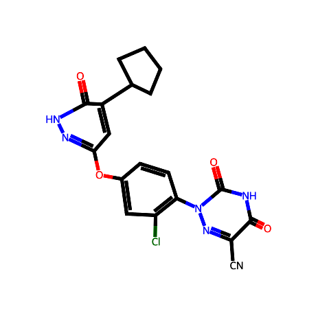 N#Cc1nn(-c2ccc(Oc3cc(C4CCCC4)c(=O)[nH]n3)cc2Cl)c(=O)[nH]c1=O